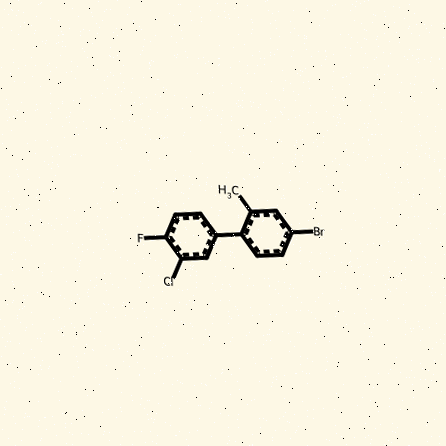 Cc1cc(Br)ccc1-c1ccc(F)c(Cl)c1